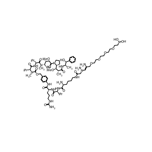 CC[C@H](C)[C@@H]([C@@H](CC(=O)N1CCC[C@H]1[C@H](OC)[C@@H](C)C(=O)N[C@H](C)[C@@H](O)c1ccccc1)OC)N(C)C(=O)[C@@H](NC(=O)[C@H](C(C)C)N(C)C(=O)OCc1ccc(NC(=O)[C@H](CCCNC(N)=O)NC(=O)[C@@H](NC(=O)[C@@H](N)CCCCNC(=O)CN(N)/C=C(\N)COCCOCCOCCOCCN(O)O)C(C)C)cc1)C(C)C